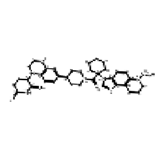 O=C1CCC(N2CCOc3cc(C4CCN(C(=O)C5(n6cnc7c8c(ccc76)N(C(=O)O)CCC8)CCCCC5)CC4)ccc32)C(=O)N1